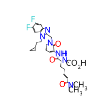 CN(C)C(=O)/C=C/CC[C@H](NC(=O)O)C(=O)Nc1cccn(Cc2nc3cc(F)c(F)cc3n2CCC2CC2)c1=O